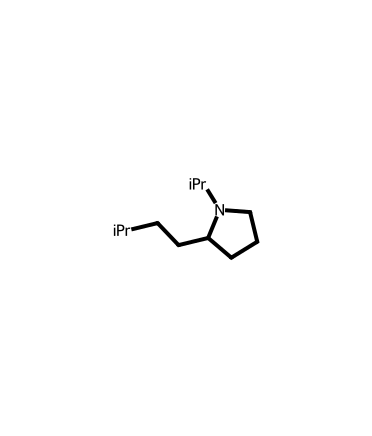 CC(C)CCC1CCCN1C(C)C